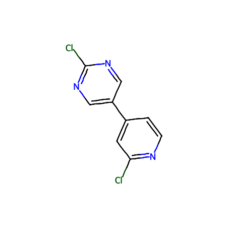 Clc1cc(-c2cnc(Cl)nc2)ccn1